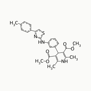 COC(=O)C1=C(C)NC(C)=C(C(=O)OC)C1c1cccc(Nc2nc(-c3ccc(C)cc3)cs2)c1